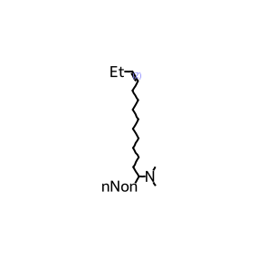 CC/C=C\CCCCCCCCCC(CCCCCCCCC)N(C)C